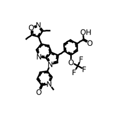 Cc1noc(C)c1-c1cnc2c(c1)c(-c1ccc(C(=O)O)cc1OC(F)(F)F)cn2-c1ccc(=O)n(C)c1